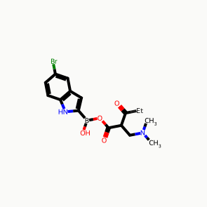 CCC(=O)C(CN(C)C)C(=O)OB(O)c1cc2cc(Br)ccc2[nH]1